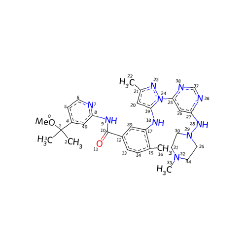 COC(C)(C)c1ccnc(NC(=O)c2ccc(C)c(Nc3cc(C)nn3-c3cc(NN4CCN(C)CC4)ncn3)c2)c1